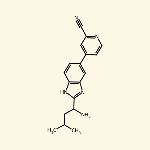 CC(C)CC(N)c1nc2cc(-c3ccnc(C#N)c3)ccc2[nH]1